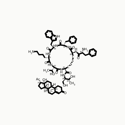 CC(=O)[C@H]1CC[C@H]2[C@@H]3CCC4=CC(=O)CC[C@]4(C)[C@H]3CC[C@]12C.CC(O)[C@@H]1NC(=O)[C@H](CCCCN)NC(=O)[C@@H](Cc2c[nH]c3ccccc23)NC(=O)[C@H](Cc2ccccc2)NC(=O)[C@@H](NC(=O)[C@H](N)Cc2ccccc2)CSSC[C@@H](C(=O)N[C@H](CO)[C@@H](C)O)NC1=O